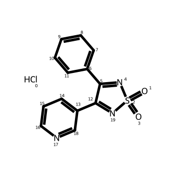 Cl.O=S1(=O)N=C(c2ccccc2)C(c2cccnc2)=N1